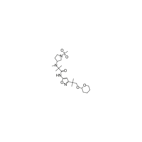 CN(C1CCN(S(C)(=O)=O)C1)C(C)(C)C(=O)Nc1cc(C(C)(C)COC2CCCCO2)no1